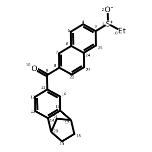 CC[S+]([O-])c1ccc2cc(C(=O)c3ccc4c(c3)C3CCC4C3)ccc2c1